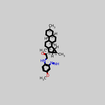 COc1ccc(NCC(=O)[C@H]2[C@H]3[C@@H](C)[C@H]3C3[C@@H]4CC[C@@H]5C[C@@H](C)CC[C@@H]5C4CC[C@@]32C)c(N=N)c1